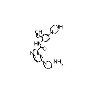 COc1cc(N2CCNCC2)ccc1NC(=O)c1cnn2ccc(N3CCC[C@@H](N)C3)nc12